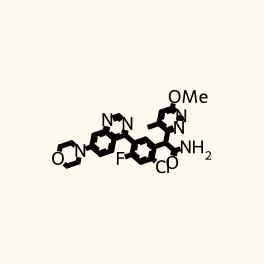 COc1cc(C)c(C(C(N)=O)c2cc(-c3ncnc4cc(N5CCOCC5)ccc34)c(F)cc2Cl)nn1